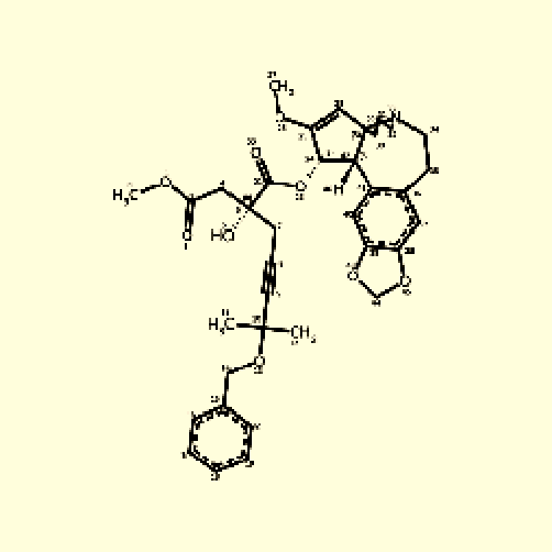 COC(=O)C[C@](O)(CC#CC(C)(C)OCc1ccccc1)C(=O)O[C@@H]1C(OC)=C[C@]23CCCN2CCc2cc4c(cc2[C@H]13)OCO4